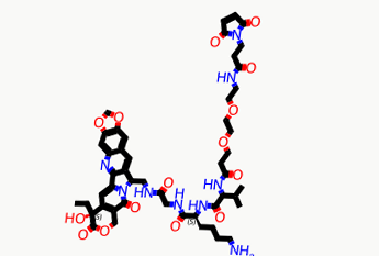 CC[C@@]1(O)C(=O)OCc2c1cc1n(c2=O)C(CNC(=O)CNC(=O)[C@H](CCCCN)NC(=O)C(NC(=O)CCOCCOCCNC(=O)CCN2C(=O)C=CC2=O)C(C)C)c2cc3cc4c(cc3nc2-1)OCO4